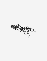 Cc1c[nH]c(-c2cc(C(=O)Nc3ccc(Oc4ncnc5[nH]ccc45)cc3)cc(C(F)(F)F)c2)n1